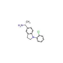 C[C@@H](N)c1ccc2c(c1)CCN2c1cc[c]cc1Cl